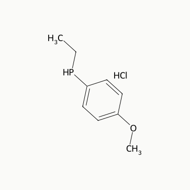 CCPc1ccc(OC)cc1.Cl